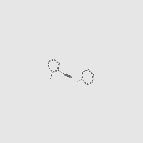 Cc1ccccc1C#CNc1ccccc1